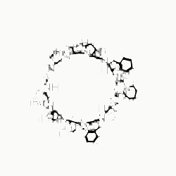 CC[C@H](C)[C@H]1C(=O)NCCN(C)[C@@H](CC(C)C)C(=O)N[C@@H]([C@@H](C)O)C(=O)N2CCC[C@H]2C(=O)N[C@@H](Cc2ccccc2)C(=O)N[C@H](C(=O)N2CCCCC2)CC(=O)N(C)[C@@H](C)C(=O)N[C@@H](Cc2ccccc2)C(=O)N(C)[C@@H](CC(C)C)C(=O)N[C@@H](CC(C)C)C(=O)N1C